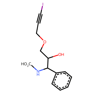 O=C(O)NC(c1ccccc1)C(O)COCC#CI